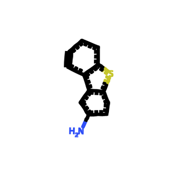 Nc1ccc2sc3ccc#cc3c2c1